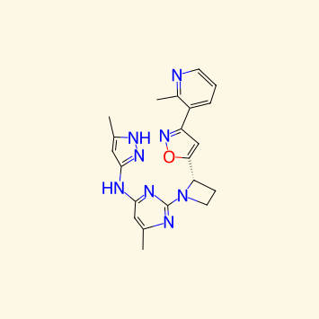 Cc1cc(Nc2cc(C)[nH]n2)nc(N2CC[C@H]2c2cc(-c3cccnc3C)no2)n1